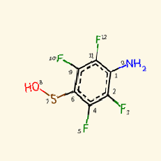 Nc1c(F)c(F)c(SO)c(F)c1F